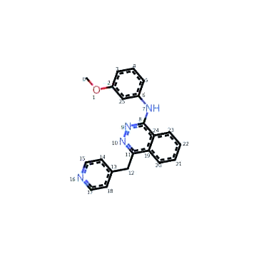 COc1cccc(Nc2nnc(Cc3ccncc3)c3ccccc23)c1